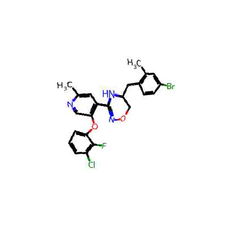 Cc1cc(C2=NOCC(Cc3ccc(Br)cc3C)N2)c(Oc2cccc(Cl)c2F)cn1